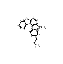 CCCc1ccc2c3c4c(ccc3n(C)c2c1)oc1ccccc14